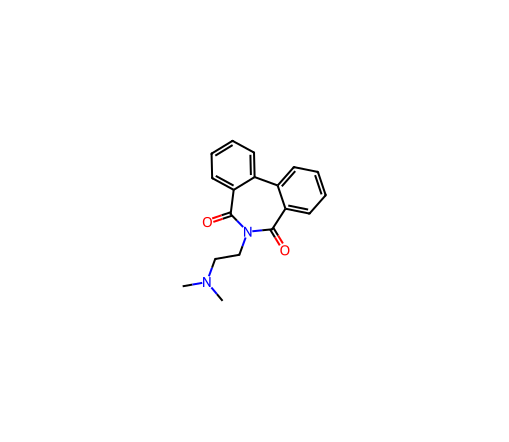 CN(C)CCn1c(=O)c2ccccc2c2ccccc2c1=O